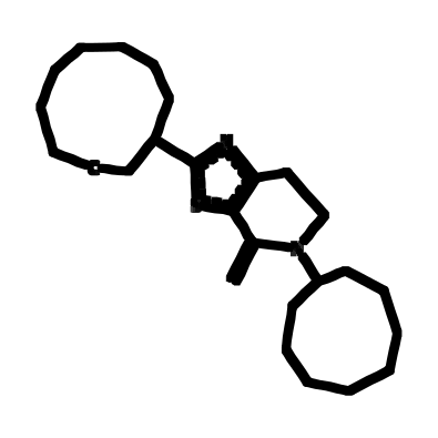 C=C1c2sc(C3CCCCCCCCC3)nc2CCN1C1CCCCCCCC1